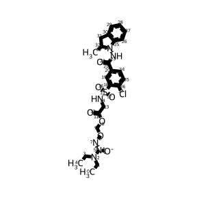 CCN(CC)[N+]([O-])=NOCOC(=O)CNS(=O)(=O)c1cc(C(=O)NN2c3ccccc3CC2C)ccc1Cl